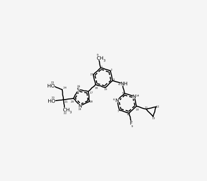 Cc1cc(Nc2ncc(F)c(C3CC3)n2)cc(-c2cnc(C(C)(O)CO)s2)c1